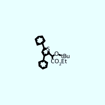 CCOC(=O)C(OC(C)(C)C)c1sc(-c2ccccc2)cc1-c1ccccc1